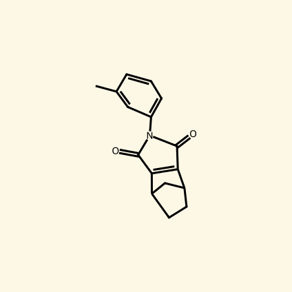 Cc1cccc(N2C(=O)C3=C(C2=O)C2CCC3C2)c1